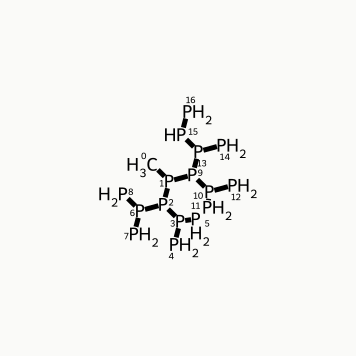 CP(P(P(P)P)P(P)P)P(P(P)P)P(P)PP